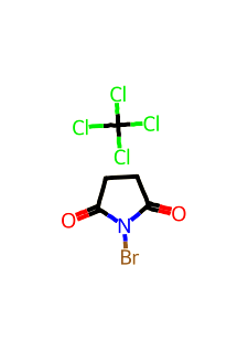 ClC(Cl)(Cl)Cl.O=C1CCC(=O)N1Br